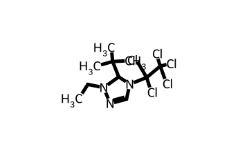 CCN1N=CN(C(Cl)(Cl)C(Cl)(Cl)Cl)C1C(C)(C)C